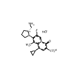 Cc1c(N2CCC[C@@H]2CN)c(F)cn2c(=O)c(C(=O)O)cc(C3CC3)c12.Cl